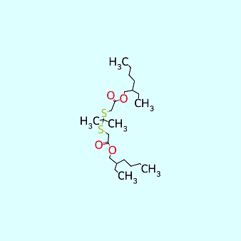 CCCCC(CC)COC(=O)CSC(C)(C)SCC(=O)OCC(CC)CCCC